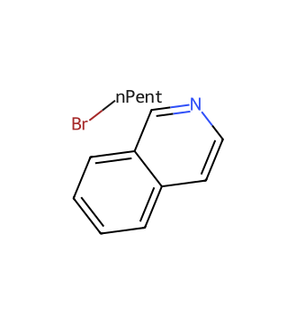 CCCCCBr.c1ccc2cnccc2c1